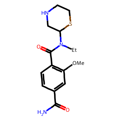 CCN(C(=O)c1ccc(C(N)=O)cc1OC)C1CNCCS1